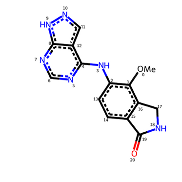 COc1c(Nc2ncnc3[nH]ncc23)ccc2c1CNC2=O